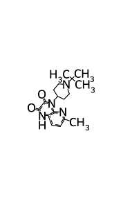 Cc1ccc2[nH]c(=O)c(=O)n(C3CCN(C(C)(C)C)CC3)c2n1